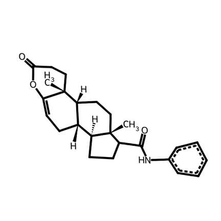 C[C@]12CCC(=O)OC1=CC[C@@H]1[C@H]2CC[C@]2(C)C(C(=O)Nc3ccccc3)CC[C@@H]12